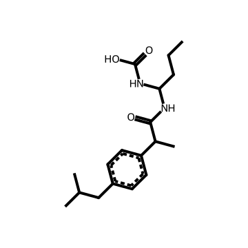 CCCC(NC(=O)O)NC(=O)C(C)c1ccc(CC(C)C)cc1